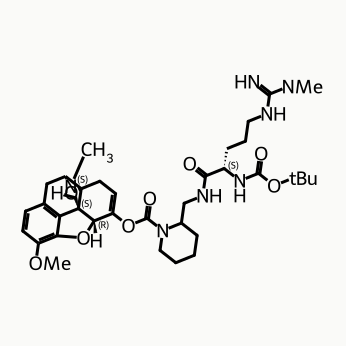 CNC(=N)NCCC[C@H](NC(=O)OC(C)(C)C)C(=O)NCC1CCCCN1C(=O)OC1=CC[C@@]2(O)C3Cc4ccc(OC)c5c4[C@@]2(CCN3C)[C@H]1O5